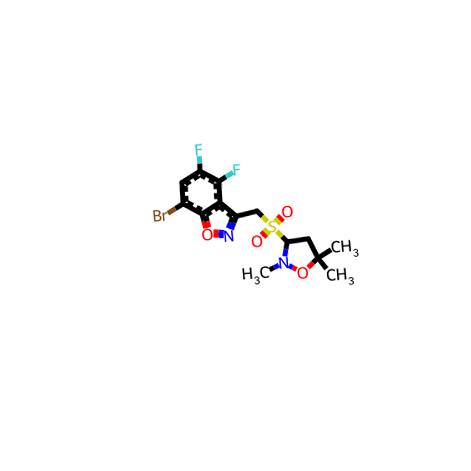 CN1OC(C)(C)CC1S(=O)(=O)Cc1noc2c(Br)cc(F)c(F)c12